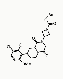 COc1ccc(Cl)c(Cl)c1C1CCN2C(=O)CN(C3CN(C(=O)OC(C)(C)C)C3)C(=O)C2C1